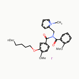 CCCCCCCCCCCCCCOc1cc(C(=O)N(Cc2cccc[n+]2C)C(=O)c2ccccc2OC)ccc1OC.[I-]